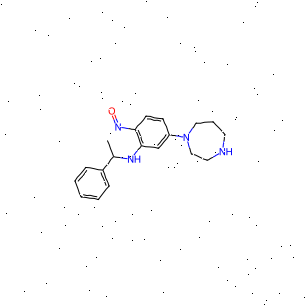 CC(Nc1cc(N2CCCNCC2)ccc1N=O)c1ccccc1